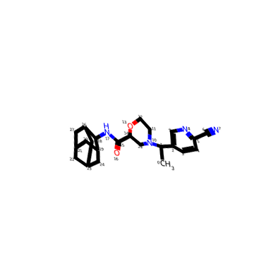 CC(c1ccc(C#N)nc1)N1CCOC(C(=O)NC2C3CC4CC(C3)CC2C4)C1